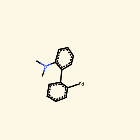 CN(C)c1ccccc1-c1cccc[c]1[Pd]